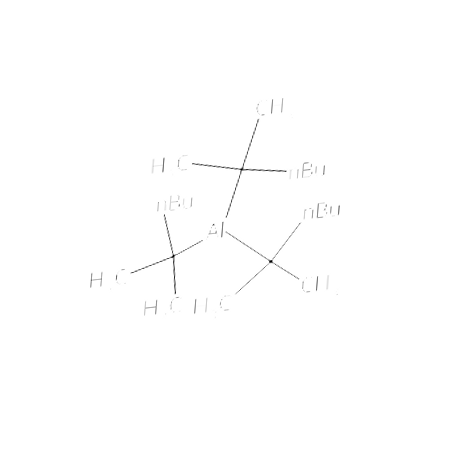 CCCC[C](C)(C)[Al]([C](C)(C)CCCC)[C](C)(C)CCCC